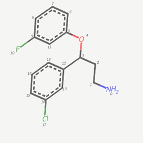 NCCC(Oc1cccc(F)c1)c1cccc(Cl)c1